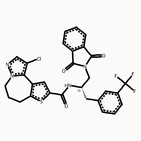 O=C(N[C@@H](Cc1cccc(C(F)(F)F)c1)CN1C(=O)c2ccccc2C1=O)c1cc2c(s1)CCCn1ncc(Cl)c1-2